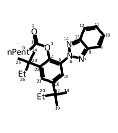 CCCCCC(=O)Oc1c(-n2nc3ccccc3n2)cc(C(C)(C)CC)cc1C(C)(C)CC